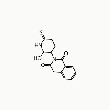 O=C1Cc2ccccc2C(=O)N1C1CCC(=S)NC1O